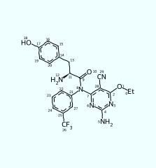 CCOc1nc(N)nc(N(C(=O)[C@@H](N)Cc2ccc(O)cc2)c2cccc(C(F)(F)F)c2)c1C#N